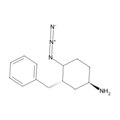 [N-]=[N+]=NC1CC[C@@H](N)C[C@@H]1Cc1ccccc1